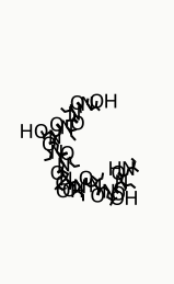 CCC(C)NCC(=O)N(CC(=O)N(CC(=O)N(CC(=O)N(CC(=O)N(CC(=O)N(CC(=O)N(CC(=O)N(CC(=O)N(CC(=O)N(CC(=O)N(C)CC(C)O)C(C)CC)C(C)CC)CC(C)O)C(C)CC)C(C)CC)CC(C)O)C(C)CC)C(C)CC)CC(C)O)C(C)CC